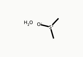 C[S+](C)[O-].O